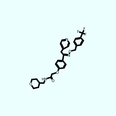 O=C(COc1ccc(/C(Cc2ccncc2)=N/OCc2ccc(C(F)(F)F)cc2)cc1)NCC1CCOCC1